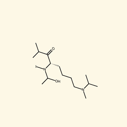 CC(C)C(=O)[C@H](CCCCN(C)C(C)C)N(I)C(C)O